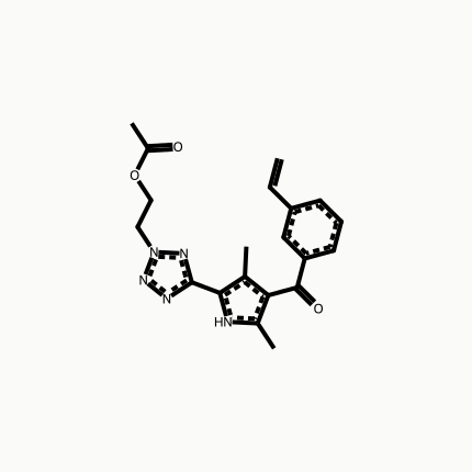 C=Cc1cccc(C(=O)c2c(C)[nH]c(-c3nnn(CCOC(C)=O)n3)c2C)c1